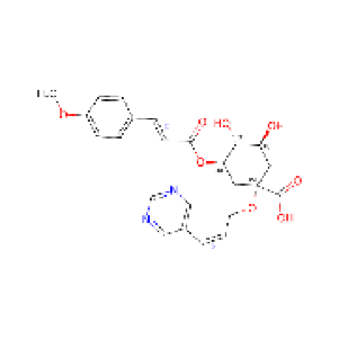 COc1ccc(/C=C/C(=O)O[C@@H]2C[C@](OC/C=C\c3cncnc3)(C(=O)O)C[C@H](O)[C@H]2O)cc1